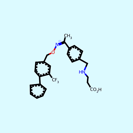 C/C(=N/OCc1ccc(-c2ccccc2)c(C(F)(F)F)c1)c1ccc(CNCCC(=O)O)cc1